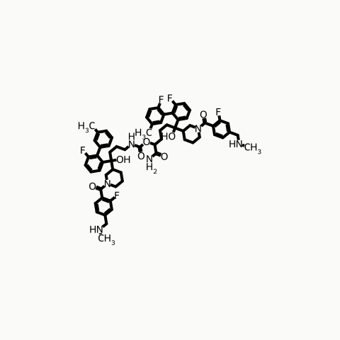 CNCc1ccc(C(=O)N2CCCC(C(O)(CCCNC(=O)OC(CCCC(O)(c3cccc(F)c3-c3cc(C)ccc3F)C3CCCN(C(=O)c4ccc(CNC)cc4F)C3)C(N)=O)c3cccc(F)c3-c3cccc(C)c3)C2)c(F)c1